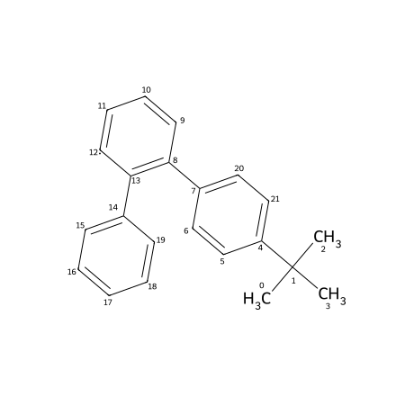 CC(C)(C)c1ccc(-c2ccc[c]c2-c2ccccc2)cc1